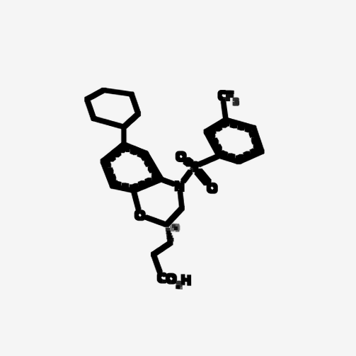 O=C(O)CC[C@H]1CN(S(=O)(=O)c2cccc(C(F)(F)F)c2)c2cc(C3CCCCC3)ccc2O1